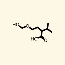 CC(C)C(CCOCO)C(=O)O